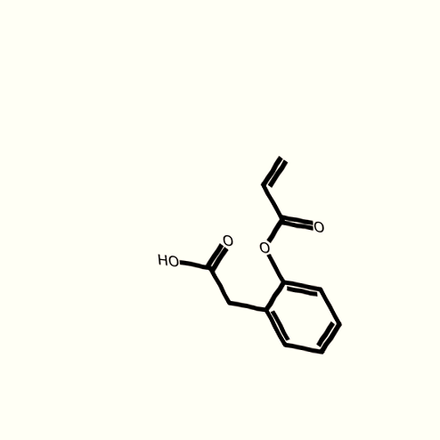 C=CC(=O)Oc1ccccc1CC(=O)O